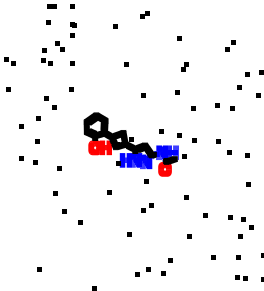 CC(=O)Nc1cc(C2CC(c3ccccc3O)C2)[nH]n1